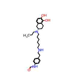 CCCN(CCCCCCNCCc1ccc(NC=O)cc1)[C@H]1CCc2c(ccc(O)c2O)C1